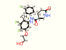 Cc1c(NC(=O)C2=CNC(=O)C[C@H]2c2ccc(F)cc2)cc(OCCO)c(F)c1F